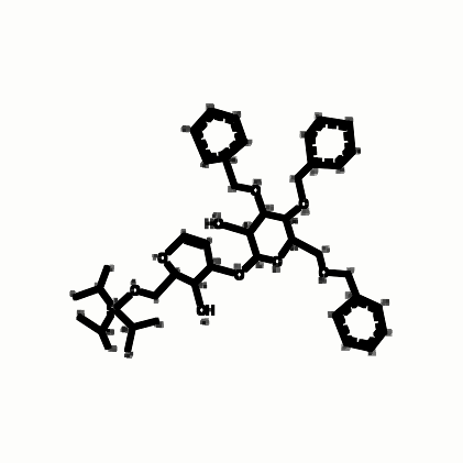 CC(C)[Si](OCC1OC=CC(OC2OC(COCc3ccccc3)C(OCc3ccccc3)C(OCc3ccccc3)C2O)C1O)(C(C)C)C(C)C